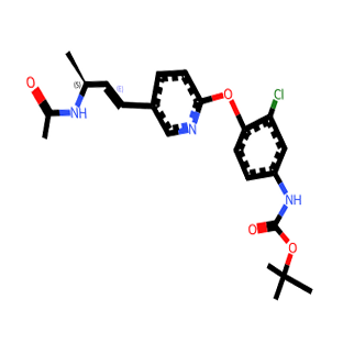 CC(=O)N[C@@H](C)/C=C/c1ccc(Oc2ccc(NC(=O)OC(C)(C)C)cc2Cl)nc1